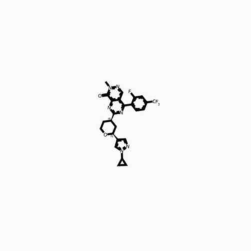 Cn1ncc2c(-c3ccc(C(F)(F)F)cc3F)nc([C@@H]3CCO[C@H](c4cnn(C5CC5)c4)C3)nc2c1=O